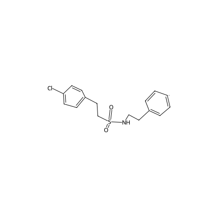 O=S(=O)(CCc1ccc(Cl)cc1)NCCc1cc[c]cc1